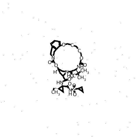 CC[C@H]1C[C@@]1(NC(=O)C1C[C@@H]2CN1C(=O)[C@H](C(C)(C)C)NC(=O)OCCCCCOc1cccc3c1CN(C3)C(=O)O2)C(=O)NS(=O)(=O)C1CC1